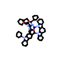 c1ccc(-c2nc(-c3ccccc3)nc(-c3cccc(-n4c5ccccc5c5ccc6c7ccccc7n(-c7nc(-c8ccccc8)nc(-c8ccc9c%10ccccc%10n(-c%10ccccc%10)c9c8)n7)c6c54)c3)n2)cc1